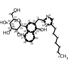 CCCCCCCc1cnc(Cc2cc([C@@H]3O[C@H](CO)[C@@H](O)[C@H](O)[C@H]3O)c3ccccc3c2O)s1